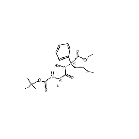 COC(=O)[C@@](CCSC)(c1ccccc1)N(S)C(=O)[C@H](C)NC(=O)OC(C)(C)C